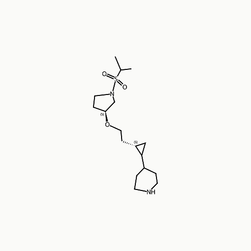 CC(C)S(=O)(=O)N1CC[C@H](OCC[C@@H]2CC2C2CCNCC2)C1